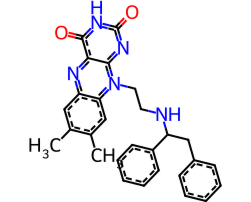 Cc1cc2nc3c(=O)[nH]c(=O)nc-3n(CCNC(Cc3ccccc3)c3ccccc3)c2cc1C